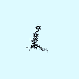 CCCCc1ccc(OC)c(-c2csc(NC(=O)N3CCN(CCN4CCCCC4)CC3)n2)c1